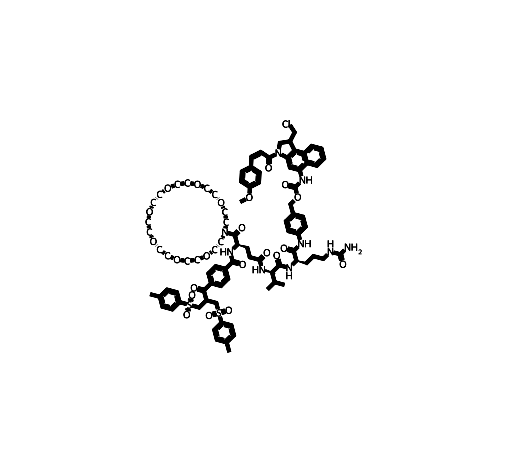 COc1ccc(/C=C\C(=O)N2CC(CCl)c3c2cc(NC(=O)OCc2ccc(NC(=O)[C@@H](CCCNC(N)=O)NC(=O)[C@H](NC(=O)CC[C@@H](NC(=O)c4ccc(C(=O)C(CS(=O)(=O)c5ccc(C)cc5)CS(=O)(=O)c5ccc(C)cc5)cc4)C(=O)N4CCOCCOCCOCCOCCOCCOCCOCC4)C(C)C)cc2)c2ccccc32)cc1